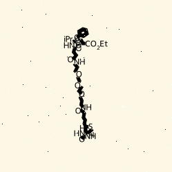 CCOC(=O)CCP(=O)(Oc1ccccc1)[C@@H](NC(=O)CCC(=O)NCCCOCCOCCOCCCNC(=O)CCCCC1SC[C@@H]2NC(=O)N[C@H]12)C(C)C